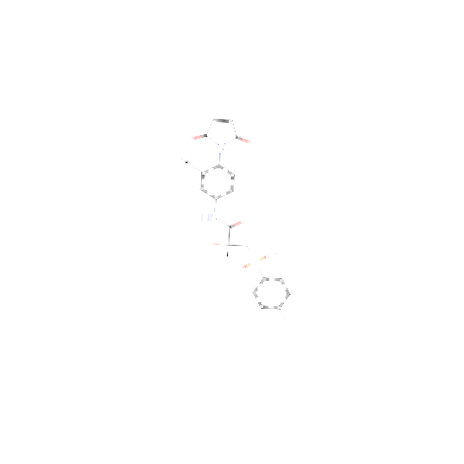 C[C@](O)(CS(=O)(=O)c1ccc(F)cc1)C(=O)Nc1ccc(N2C(=O)C=CC2=O)c(C(F)(F)F)c1